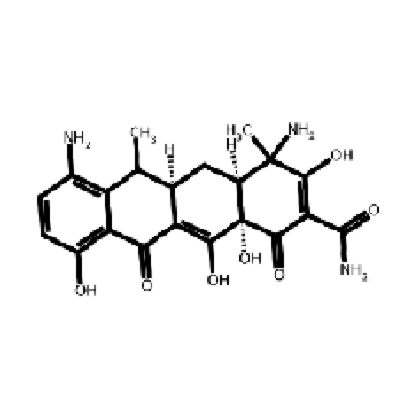 CC1c2c(N)ccc(O)c2C(=O)C2=C(O)[C@]3(O)C(=O)C(C(N)=O)=C(O)C(C)(N)[C@@H]3C[C@@H]21